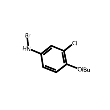 CC(C)COc1ccc(NBr)cc1Cl